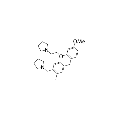 COc1c[c]c(Cc2ccc(CN3CCCC3)c(C)c2)c(OCCN2CCCC2)c1